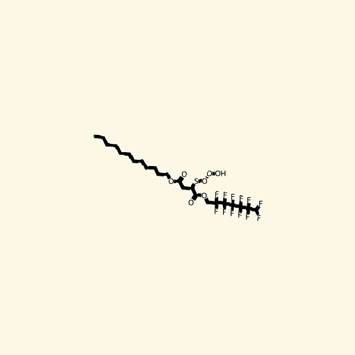 CCCCCCCCCCCCOC(=O)CC(SOOO)C(=O)OCC(F)(F)C(F)(F)C(F)(F)C(F)(F)C(F)(F)C(F)F